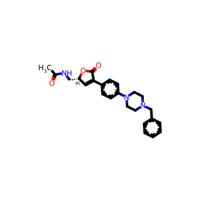 CC(=O)NC[C@H]1C=C(c2ccc(N3CCN(Cc4ccccc4)CC3)cc2)C(=O)O1